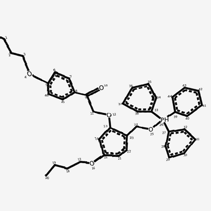 CCCCOc1ccc(C(=O)COc2cc(OCCCC)ccc2CO[PH](c2ccccc2)(c2ccccc2)c2ccccc2)cc1